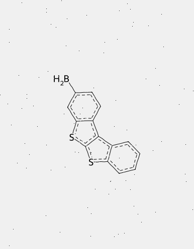 Bc1ccc2c(c1)sc1sc3ccccc3c12